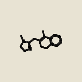 CC1=C(CC2=NCCN2C)CCc2ccccc21